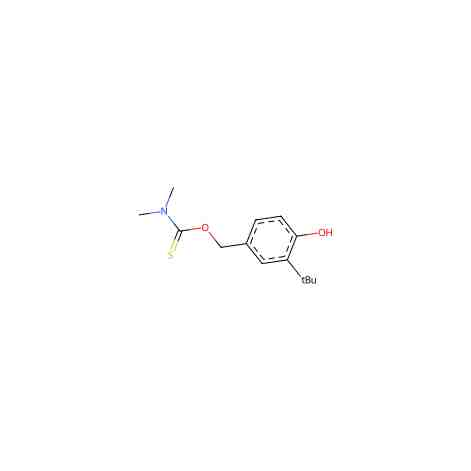 CN(C)C(=S)OCc1ccc(O)c(C(C)(C)C)c1